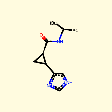 CC(=O)[C@@H](NC(=O)[C@@H]1CC1c1c[nH]cn1)C(C)(C)C